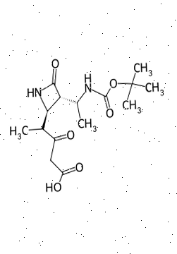 CC(C(=O)CC(=O)O)[C@H]1NC(=O)[C@@H]1C(C)NC(=O)OC(C)(C)C